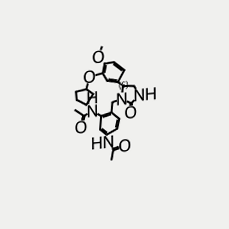 COc1ccc([C@H]2CNC(=O)N2Cc2ccc(NC(C)=O)cc2NC(C)=O)cc1OC1CCCC1